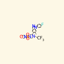 Cc1cc2c(cnn2-c2ccc(F)cc2)cc1C1CN(S(=O)(=O)N2CCOCC2)CCN1CCC(F)(F)F